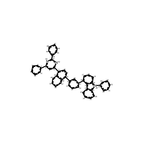 c1ccc(-c2cc(-c3ccc(-c4cccc(-c5cccc6c5c5ccccc5n6-c5ccccc5)c4)c4ccccc34)nc(-c3ccccc3)n2)cc1